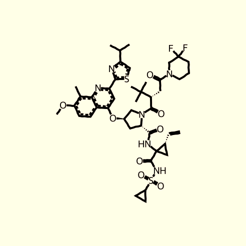 C=C[C@@H]1CC1(NC(=O)[C@@H]1C[C@@H](Oc2cc(-c3nc(C(C)C)cs3)nc3c(C)c(OC)ccc23)CN1C(=O)[C@@H](CC(=O)N1CCCC(F)(F)C1)C(C)(C)C)C(=O)NS(=O)(=O)C1CC1